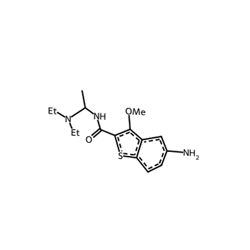 CCN(CC)C(C)NC(=O)c1sc2ccc(N)cc2c1OC